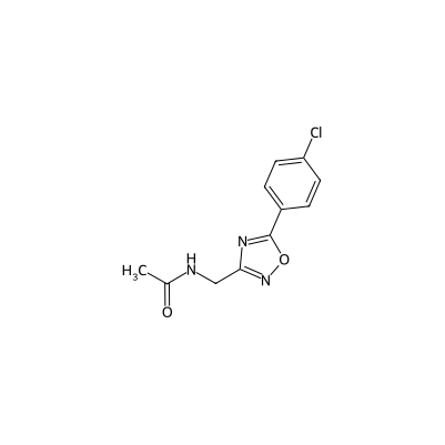 CC(=O)NCc1noc(-c2ccc(Cl)cc2)n1